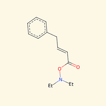 CCN(CC)OC(=O)C=CCc1ccccc1